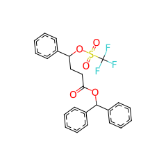 O=C(CCC(OS(=O)(=O)C(F)(F)F)c1ccccc1)OC(c1ccccc1)c1ccccc1